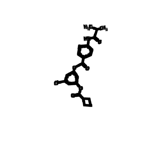 CC(C)C(=O)Nc1ccc(C(=O)Oc2cc(Cl)cc(OC(=O)C3CCC3)c2)cc1